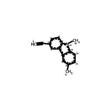 C#Cc1ccc2c(c1)c1cc(C)ccc1n2C